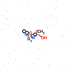 COc1cc2c(Oc3cc4ccccc4nc3C)ccnc2cc1CCCO